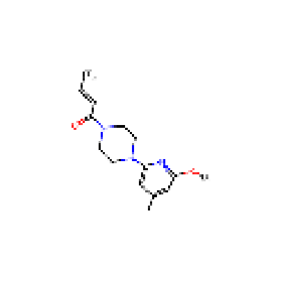 CCOc1cc(C)cc(N2CCN(C(=O)C=CC(F)(F)F)CC2)n1